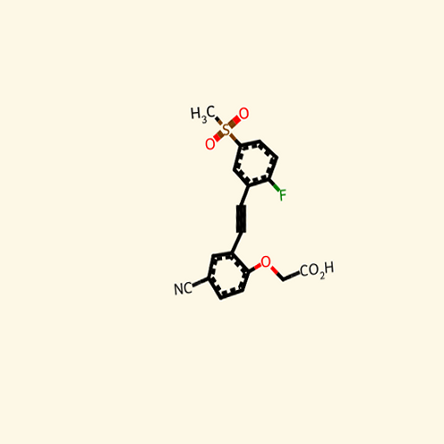 CS(=O)(=O)c1ccc(F)c(C#Cc2cc(C#N)ccc2OCC(=O)O)c1